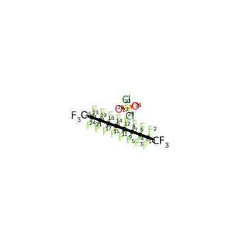 FC(F)(F)C(F)(F)C(F)(F)C(F)(F)C(F)(F)C(F)(F)C(F)(F)C(F)(F)C(F)(F)C(F)(F)F.O=S(=O)(Cl)Cl